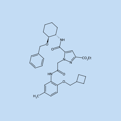 CCOC(=O)c1cc(C(=O)N[C@H]2CCCC[C@@H]2OCc2ccccc2)n(CC(=O)Nc2cc(C)ccc2OCC2CCC2)n1